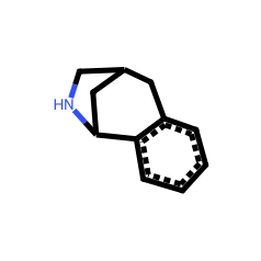 c1ccc2c(c1)CC1CNC2C1